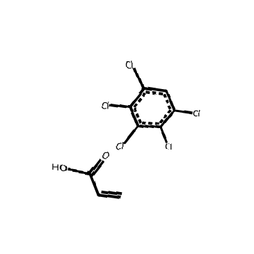 C=CC(=O)O.Clc1cc(Cl)c(Cl)c(Cl)c1Cl